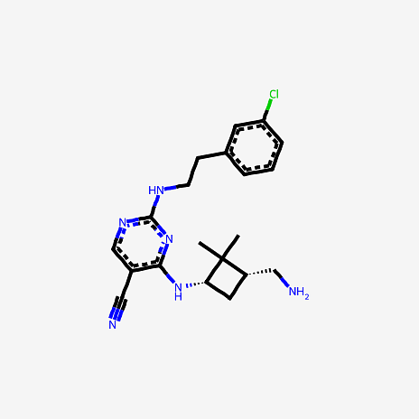 CC1(C)[C@H](CN)C[C@@H]1Nc1nc(NCCc2cccc(Cl)c2)ncc1C#N